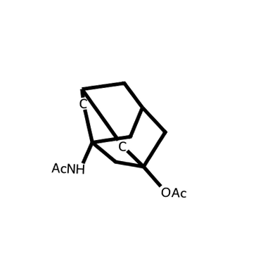 CC(=O)NC12CC3CC(C1)CC(OC(C)=O)(C3)C2